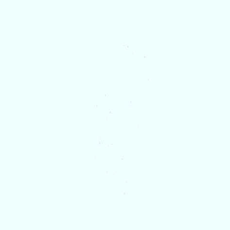 CN(C(=O)C=Cc1ccc(C#N)cc1)C(c1cccc(C(F)(F)F)c1)C(F)(F)F